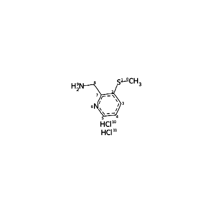 CSc1cccnc1CN.Cl.Cl